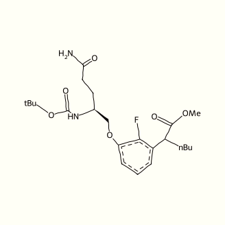 CCCCC(C(=O)OC)c1cccc(OC[C@H](CCC(N)=O)NC(=O)OC(C)(C)C)c1F